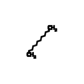 C=CCCCCCCCCC=C